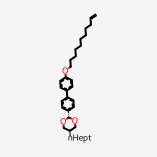 C=CCCCCCCCCCOc1ccc(-c2ccc([C@H]3OC[C@H](CCCCCCC)CO3)cc2)cc1